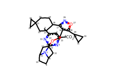 Cc1cc(C(=O)O)nc(N2C3CCC2CC(OCc2c(C4CCC5(CC4)CC5)noc2C2CC2)C3)n1